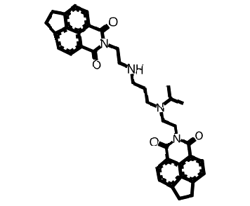 CC(C)N(CCCNCCN1C(=O)c2ccc3c4c(ccc(c24)C1=O)CC3)CCN1C(=O)c2ccc3c4c(ccc(c24)C1=O)CC3